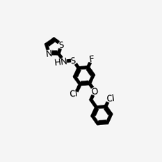 Fc1cc(OCc2ccccc2Cl)c(Cl)cc1SNc1nccs1